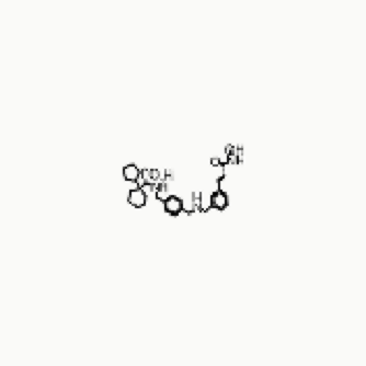 O=C(C=Cc1cccc(CNCc2ccc(CN[C@H](C(=O)O)C3(C4CCCC4)CCCCC3)cc2)c1)NO